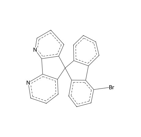 Brc1cccc2c1-c1ccccc1C21c2cccnc2-c2ncccc21